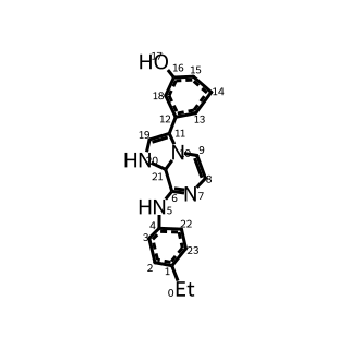 CCc1ccc(NC2=NC=CN3C(c4cccc(O)c4)=CNC23)cc1